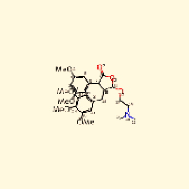 COc1cc(OC)cc(C2C(=O)OC(OCCN(C)C)C2Cc2cc(OC)c(OC)c(OC)c2)c1